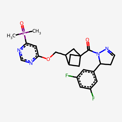 CP(C)(=O)c1cc(OCC2CC3(C(=O)N4N=CCC4c4cc(F)cc(F)c4)CC2C3)ncn1